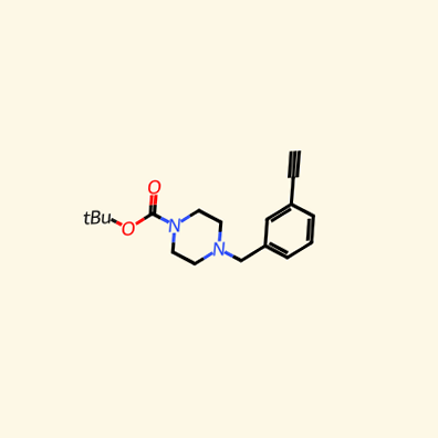 C#Cc1cccc(CN2CCN(C(=O)OC(C)(C)C)CC2)c1